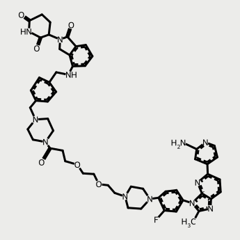 Cc1nc2ccc(-c3ccnc(N)c3)nc2n1-c1ccc(N2CCN(CCOCCOCCC(=O)N3CCN(Cc4ccc(CNc5cccc6c5CN(C5CCC(=O)NC5=O)C6=O)cc4)CC3)CC2)c(F)c1